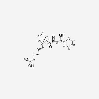 O=C(O)CCCC=CC1C2CCC(C2)C1C(=O)NCC(O)C1CC=CCC1